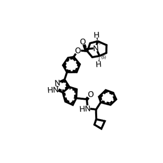 O=CN1[C@@H]2CC[C@H]1CC(Oc1ccc(-c3n[nH]c4ccc(C(=O)NC(c5ccccc5)C5CCC5)cc34)cc1)C2